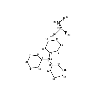 C1CCC(P(C2CCCCC2)C2CCCCC2)CC1.FN=C(F)F